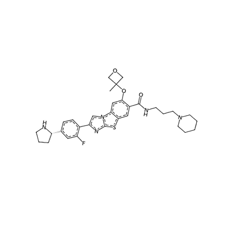 CC1(Oc2cc3c(cc2C(=O)NCCCN2CCCCC2)sc2nc(-c4ccc([C@@H]5CCCN5)cc4F)cn23)COC1